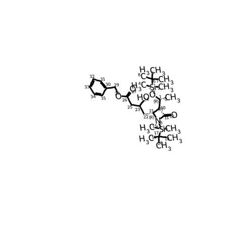 C[C@@H](O[Si](C)(C)C(C)(C)C)[C@@H]1C(=O)N([Si](C)(C)C(C)(C)C)[C@@H]1CC(O)CC(=O)OCc1ccccc1